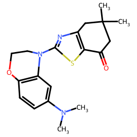 CN(C)c1ccc2c(c1)N(c1nc3c(s1)C(=O)CC(C)(C)C3)CCO2